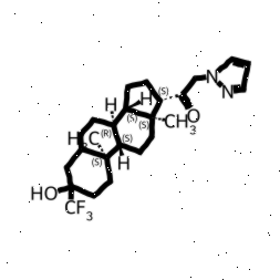 C[C@]12CC[C@H]3[C@@H](CCC4CC(O)(C(F)(F)F)CC[C@@]43C)[C@@H]1CC[C@@H]2C(=O)Cn1cccn1